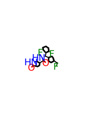 O=C(N[C@@H](c1ccc(CF)cc1)c1c(F)cccc1F)c1ccc(=O)[nH]c1